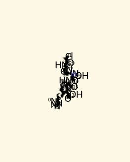 Cn1nnnc1SCC1=C(C(=O)O)N2C(=O)[C@@H](NC(=O)/C(=N\O)c3coc(NC(=O)CCl)n3)[C@H]2SC1